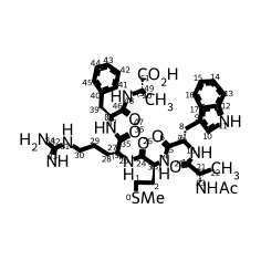 CSCC[C@H](NC(=O)[C@H](Cc1c[nH]c2ccccc12)NC(=O)[C@H](C)NC(C)=O)C(=O)N[C@@H](CCCNC(=N)N)C(=O)N[C@@H](Cc1ccccc1)C(=O)N[C@@H](C)C(=O)O